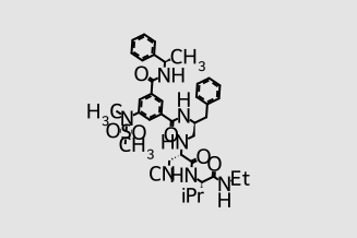 CCNC(=O)[C@@H](NC(=O)[C@H](CC#N)NC[C@H](Cc1ccccc1)NC(=O)c1cc(C(=O)N[C@H](C)c2ccccc2)cc(N(C)S(C)(=O)=O)c1)C(C)C